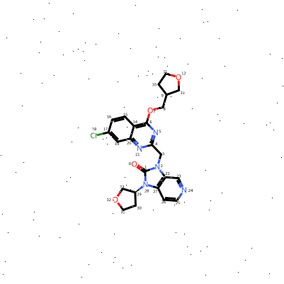 O=c1n(Cc2nc(OCC3CCOC3)c3ccc(Cl)cc3n2)c2cnccc2n1[C@H]1CCOC1